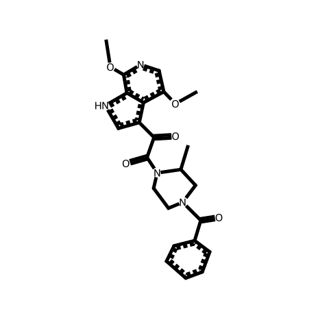 COc1ncc(OC)c2c(C(=O)C(=O)N3CCN(C(=O)c4ccccc4)CC3C)c[nH]c12